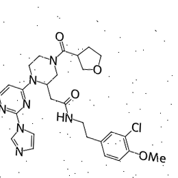 COc1ccc(CCNC(=O)CC2CN(C(=O)C3CCOC3)CCN2c2ccnc(-n3ccnc3)n2)cc1Cl